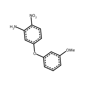 COc1cccc(Oc2ccc([N+](=O)[O-])c(N)c2)c1